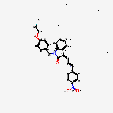 O=C1C(=C/C=C/c2ccc([N+](=O)[O-])cc2)c2ccccc2N1Cc1ccc(OCCF)cc1